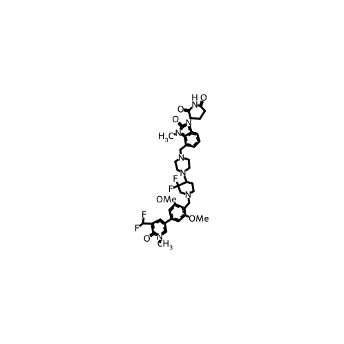 COc1cc(-c2cc(C(F)F)c(=O)n(C)c2)cc(OC)c1CN1CCC(N2CCN(Cc3cccc4c3n(C)c(=O)n4C3CCC(=O)NC3=O)CC2)C(F)(F)C1